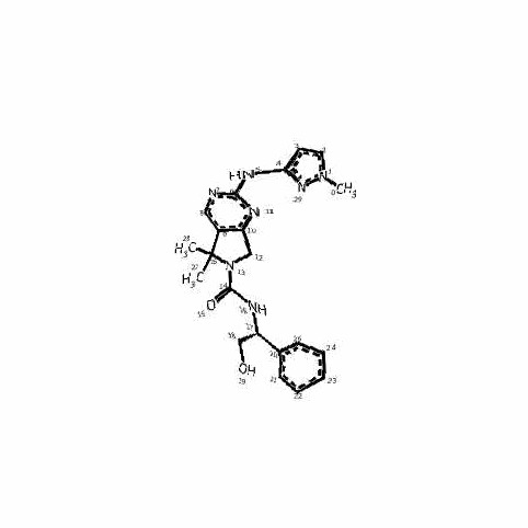 Cn1ccc(Nc2ncc3c(n2)CN(C(=O)N[C@H](CO)c2ccccc2)C3(C)C)n1